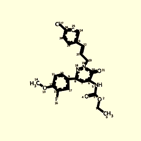 CCOC(=O)Nc1cc(-c2ccc(OC)c(F)c2)nn(C/C=C/c2ccc(Cl)cc2)c1=O